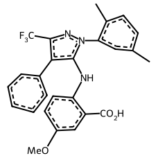 COc1ccc(Nc2c(-c3ccccc3)c(C(F)(F)F)nn2-c2cc(C)ccc2C)c(C(=O)O)c1